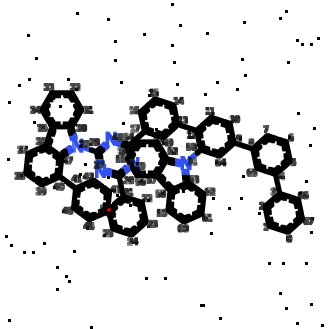 c1ccc(-c2cccc(-c3ccc(-c4cccc(-c5nc(-c6ccccc6)nc(-n6c7ccccc7c7cccc(-c8ccccc8)c76)n5)c4)c(-n4c5ccccc5c5ccccc54)c3)c2)cc1